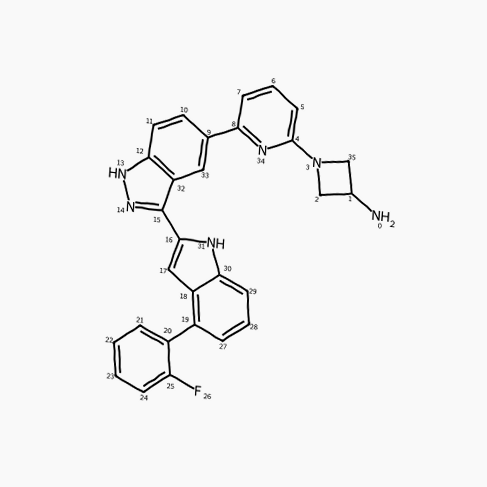 NC1CN(c2cccc(-c3ccc4[nH]nc(-c5cc6c(-c7ccccc7F)cccc6[nH]5)c4c3)n2)C1